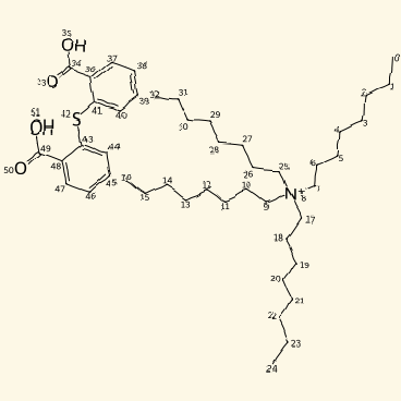 CCCCCCCC[N+](CCCCCCCC)(CCCCCCCC)CCCCCCCC.O=C(O)c1ccccc1Sc1ccccc1C(=O)O